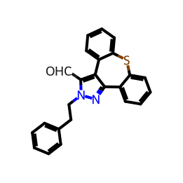 O=Cc1c2c(nn1CCc1ccccc1)-c1ccccc1Sc1ccccc1-2